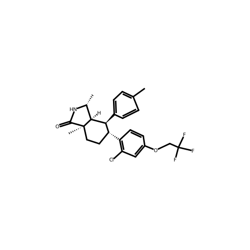 Cc1ccc([C@@H]2[C@@H]3[C@@H](C)NC(=O)[C@]3(C)CC[C@H]2c2ccc(OCC(F)(F)F)cc2Cl)cc1